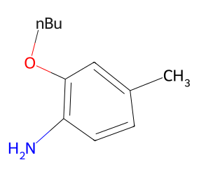 CCCCOc1cc(C)ccc1N